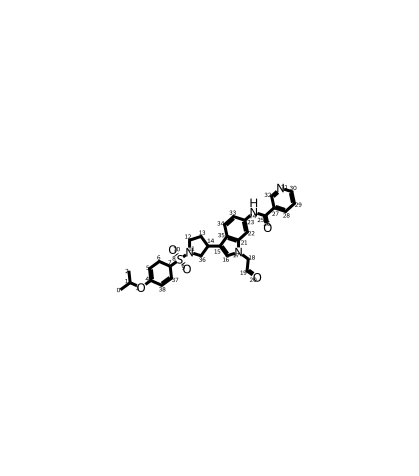 CC(C)OC1=CCC(S(=O)(=O)N2CCC(c3cn(CC=O)c4cc(NC(=O)c5cccnc5)ccc34)C2)C=C1